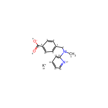 CN(Cc1ccc(C(=O)[O-])cc1)c1ccccn1.[K+]